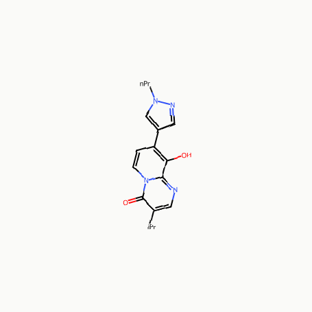 CCCn1cc(-c2ccn3c(=O)c(C(C)C)cnc3c2O)cn1